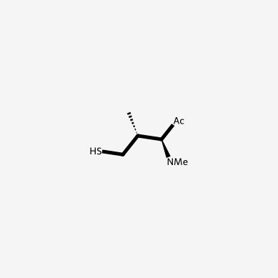 CN[C@H](C(C)=O)[C@@H](C)CS